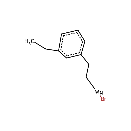 CCc1cccc(C[CH2][Mg][Br])c1